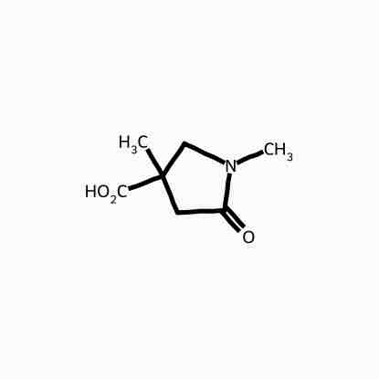 CN1CC(C)(C(=O)O)CC1=O